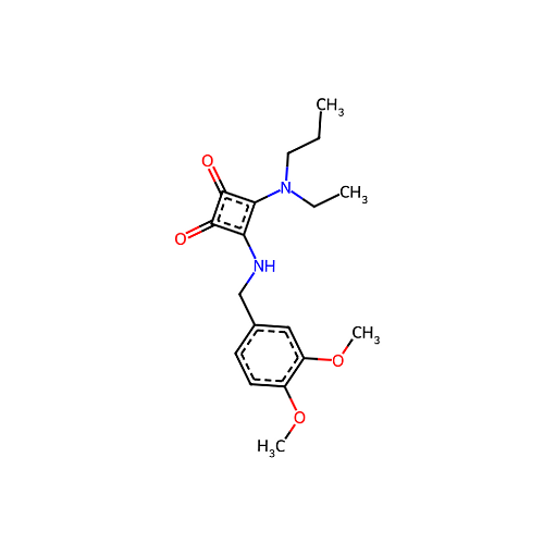 CCCN(CC)c1c(NCc2ccc(OC)c(OC)c2)c(=O)c1=O